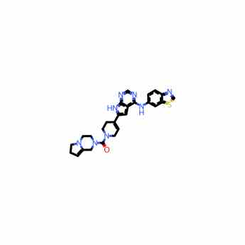 O=C(N1CC=C(c2cc3c(Nc4ccc5ncsc5c4)ncnc3[nH]2)CC1)N1CCN2CCC=C2C1